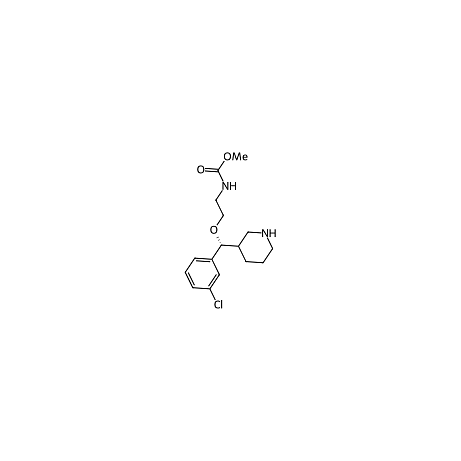 COC(=O)NCCO[C@@H](c1cccc(Cl)c1)C1CCCNC1